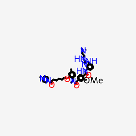 COc1cc(C(=O)N(C)c2ccc(C)cc2OCCCCCC(=O)N2CCN(C)CC2)ccc1C(=O)Nc1cccc2[nH]c(NCCN(C)C)nc12